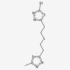 CCc1nnc(CCSCCc2nnc(C)s2)s1